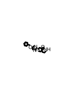 O=C1NCCCC12CCN(c1ncc(OCc3ccccc3)cn1)CC2